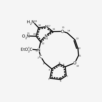 CCOC(=O)N1CCc2cccc(c2)OC/C=C\COc2nc(N)c([N+](=O)[O-])c1n2